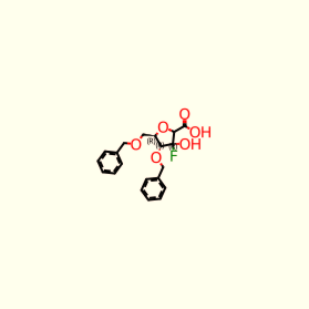 O=C(O)C1O[C@H](COCc2ccccc2)[C@@H](OCc2ccccc2)[C@@]1(O)F